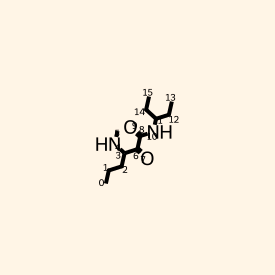 CCCC(NC)C(=O)C(=O)NC(CC)CC